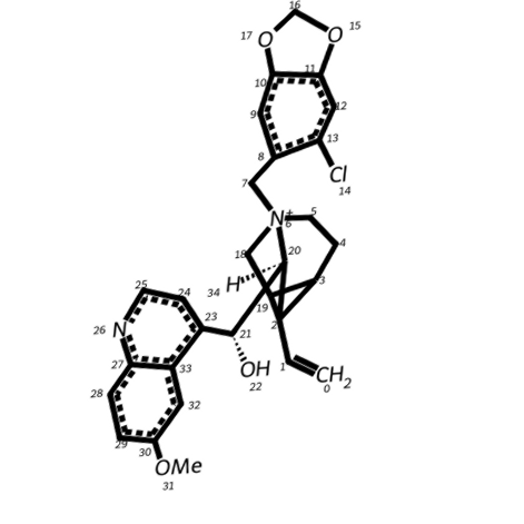 C=CC12C3CC[N+](Cc4cc5c(cc4Cl)OCO5)(CC31)[C@@H]2[C@H](O)c1ccnc2ccc(OC)cc12